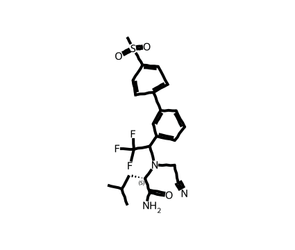 CC(C)C[C@@H](C(N)=O)N(CC#N)C(c1cccc(-c2ccc(S(C)(=O)=O)cc2)c1)C(F)(F)F